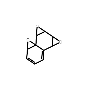 C1=CC2OC23C(=C1)C1OC1C1OC13